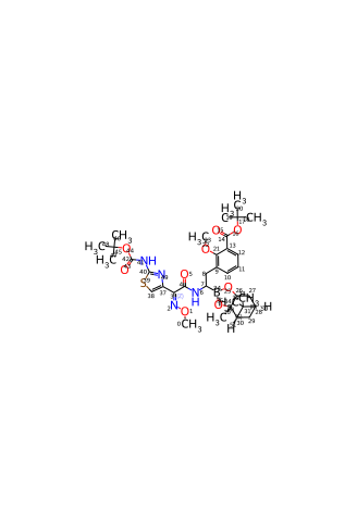 CO/N=C(\C(=O)NC(Cc1cccc(C(=O)OC(C)(C)C)c1OC)B1OC2C[C@H]3C[C@@H](C3(C)C)[C@]2(C)O1)c1csc(NC(=O)OC(C)(C)C)n1